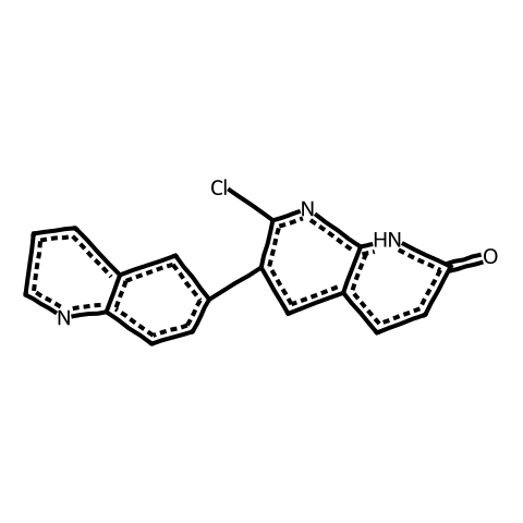 O=c1ccc2cc(-c3ccc4ncccc4c3)c(Cl)nc2[nH]1